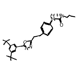 CCCNC(=O)Nc1ccc(CCc2nnc(-c3cc(C(C)(C)C)cc(C(C)(C)C)c3)o2)cc1